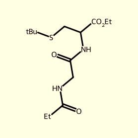 CCOC(=O)C(CSC(C)(C)C)NC(=O)CNC(=O)CC